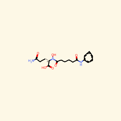 NC(=O)CC[C@@H](C(=O)O)N(O)C(=O)CCCCC(=O)Nc1ccccc1